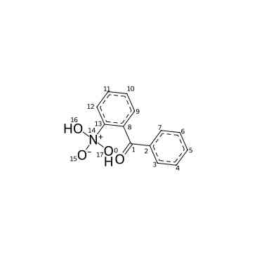 O=C(c1ccccc1)c1ccccc1[N+]([O-])(O)O